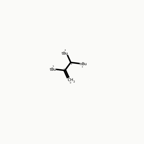 C=C(C(CCCC)C(C)(C)C)C(C)(C)C